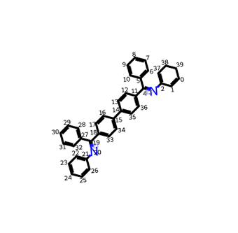 C1=CC(/N=C(\c2ccccc2)c2ccc(-c3ccc(/C(=N/c4ccccc4)c4ccccc4)cc3)cc2)=CCC1